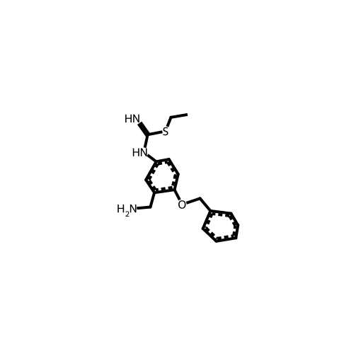 CCSC(=N)Nc1ccc(OCc2ccccc2)c(CN)c1